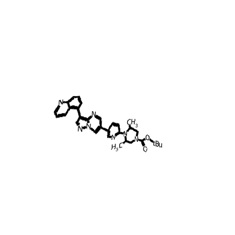 CC1CN(C(=O)OC(C)(C)C)CC(C)N1c1ccc(-c2cnc3c(-c4cccc5ncccc45)cnn3c2)cn1